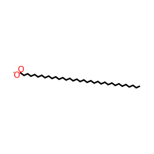 CCCCCCCCCCCCCCCCCCCCCCCCCCCCCCCCCCC(=O)OC